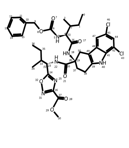 CCC(C)[C@H](NC(=O)OCc1ccccc1)C(=O)N[C@]1(C(=O)N[C@H](c2nc(C(=O)OC)no2)C(C)CC)CCc2[nH]c3c(Cl)cc(Cl)cc3c2C1